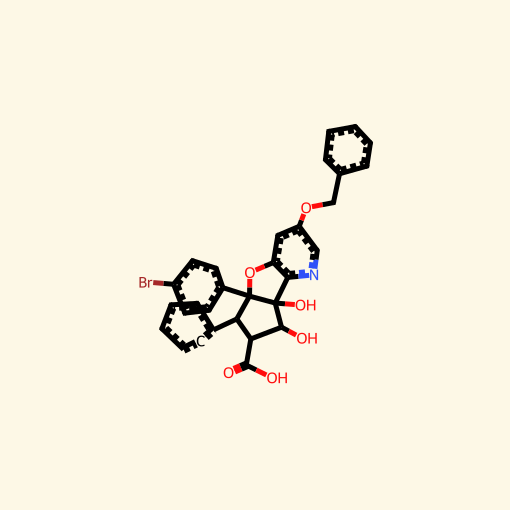 O=C(O)C1C(O)C2(O)c3ncc(OCc4ccccc4)cc3OC2(c2ccc(Br)cc2)C1c1ccccc1